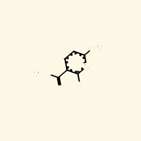 COC(=O)c1ccc(OC)nc1C(C)=O